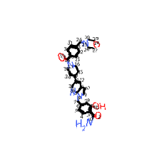 NC(=O)c1ccc(Cn2ccc3cc(C4CCN(C(=O)c5ccc(CN6CCOCC6)cc5)CC4)cnc32)cc1O